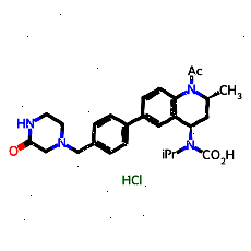 CC(=O)N1c2ccc(-c3ccc(CN4CCNC(=O)C4)cc3)cc2[C@H](N(C(=O)O)C(C)C)C[C@@H]1C.Cl